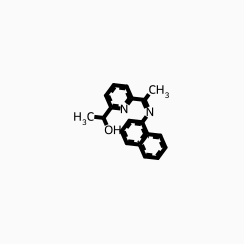 CC(=Nc1cccc2ccccc12)c1cccc(C(C)O)n1